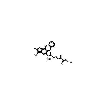 CC[C@H](C)[C@H](NCCCNC(=O)OC(C)(C)C)c1cc2c(Cl)c(C)nn2c(=O)n1Cc1ccccc1